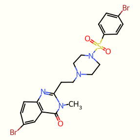 Cn1c(CCN2CCN(S(=O)(=O)c3ccc(Br)cc3)CC2)nc2ccc(Br)cc2c1=O